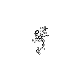 CC=CCn1c(NC(=O)c2cc(C)nn2CC)nc2c(-n3cnc4ccccc43)c(C(N)=O)c(OC)c(OCCC3CN(C(=O)CCN4C(=O)C=CC4=O)C3)c21